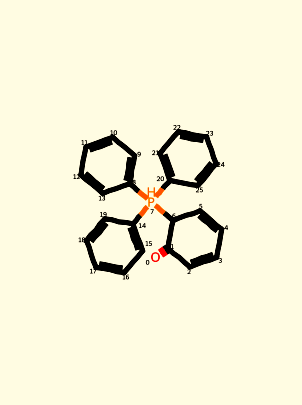 O=C1C=CC=CC1[PH](c1ccccc1)(c1ccccc1)c1ccccc1